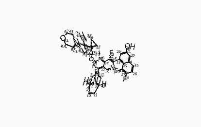 [2H]C([2H])(Oc1nc(N2C[C@H]3CC[C@@H](C2)N3)c2cnc(-c3cc(O)cc4ccc(F)c(F)c34)c(F)c2n1)C1(C([2H])([2H])N2CCOCC2)CC1